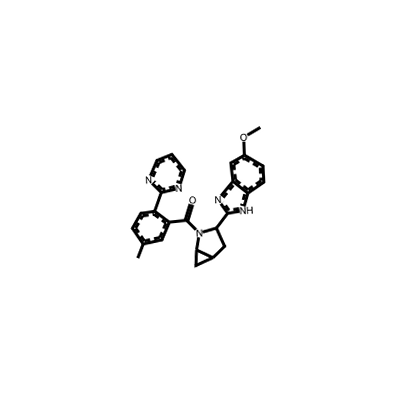 COc1ccc2[nH]c(C3CC4CC4N3C(=O)c3cc(C)ccc3-c3ncccn3)nc2c1